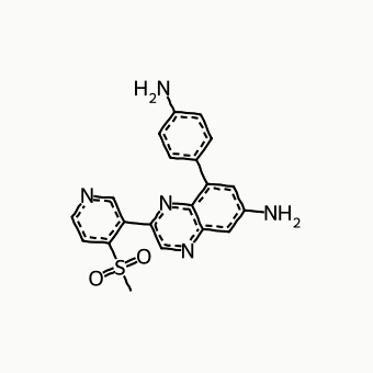 CS(=O)(=O)c1ccncc1-c1cnc2cc(N)cc(-c3ccc(N)cc3)c2n1